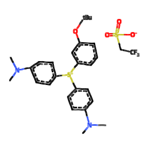 CN(C)c1ccc([S+](c2ccc(N(C)C)cc2)c2cccc(OC(C)(C)C)c2)cc1.O=S(=O)([O-])CC(F)(F)F